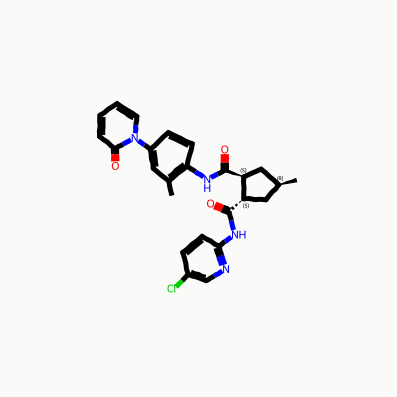 Cc1cc(-n2ccccc2=O)ccc1NC(=O)[C@H]1C[C@@H](C)C[C@@H]1C(=O)Nc1ccc(Cl)cn1